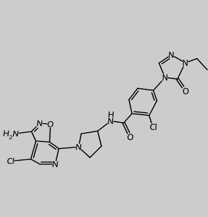 CCn1ncn(-c2ccc(C(=O)NC3CCN(c4ncc(Cl)c5c(N)noc45)C3)c(Cl)c2)c1=O